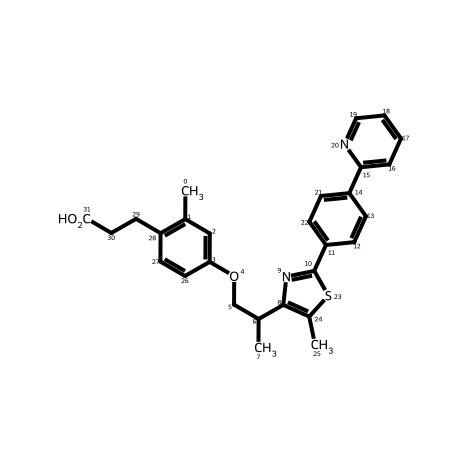 Cc1cc(OCC(C)c2nc(-c3ccc(-c4ccccn4)cc3)sc2C)ccc1CCC(=O)O